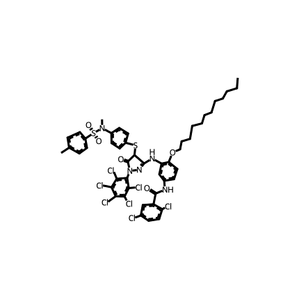 CCCCCCCCCCCCOc1ccc(NC(=O)c2cc(Cl)ccc2Cl)cc1NC1=NN(c2c(Cl)c(Cl)c(Cl)c(Cl)c2Cl)C(=O)C1Sc1ccc(N(C)S(=O)(=O)c2ccc(C)cc2)cc1